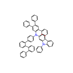 c1ccc(-c2cc(-c3ccccc3)c(N(c3ccc(-c4ccccc4-c4ccccc4-c4ccccc4)cc3)c3ccc4c5ccccc5n(-c5ccccc5)c4c3)cc2-c2ccccc2)cc1